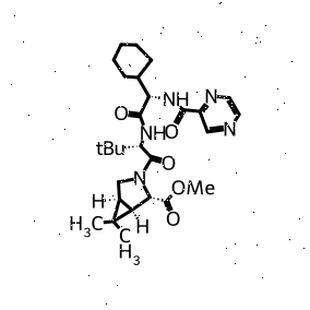 COC(=O)[C@@H]1[C@@H]2[C@H](CN1C(=O)[C@@H](NC(=O)[C@@H](NC(=O)c1cnccn1)C1CCCCC1)C(C)(C)C)C2(C)C